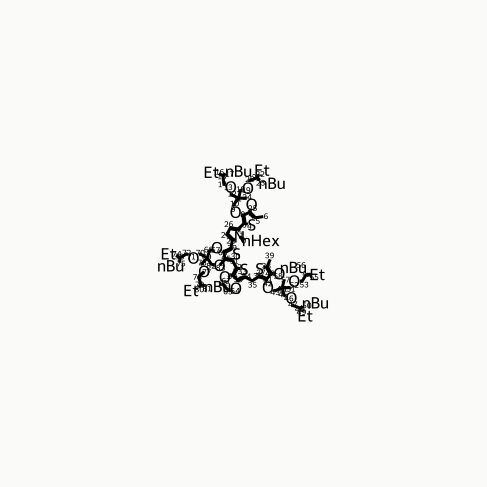 CCCCCCn1c(-c2sc(C)c3c2OCC(COCC(CC)CCCC)(COCC(CC)CCCC)CO3)ccc1-c1sc(-c2sc(Cc3sc(C)c4c3OCC(COCC(CC)CCCC)(COCC(CC)CCCC)CO4)c3c2OCCO3)c2c1OCC(COCC(CC)CCCC)(COCC(CC)CCCC)CO2